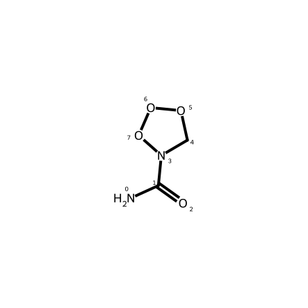 NC(=O)N1COOO1